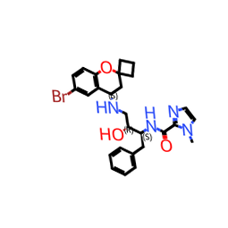 Cn1ccnc1C(=O)N[C@@H](Cc1ccccc1)[C@H](O)CN[C@H]1CC2(CCC2)Oc2ccc(Br)cc21